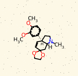 COc1ccc([C@@]23C=CC4(C[C@@H]2N(C)CC3)OCCO4)cc1OC